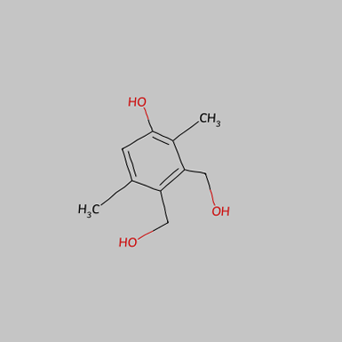 Cc1cc(O)c(C)c(CO)c1CO